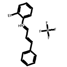 CCc1ccccc1[NH+]=CC=Cc1ccccc1.F[B-](F)(F)F